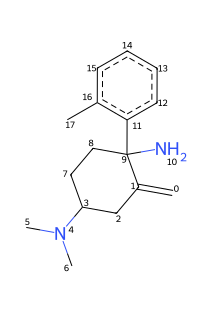 C=C1CC(N(C)C)CCC1(N)c1ccccc1C